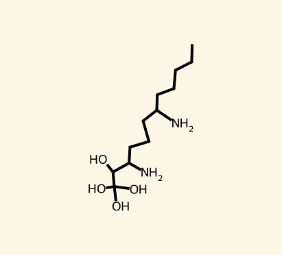 CCCCCC(N)CCCC(N)C(O)C(O)(O)O